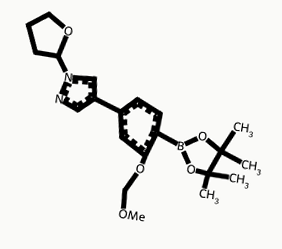 COCOc1cc(-c2cnn(C3CCCO3)c2)ccc1B1OC(C)(C)C(C)(C)O1